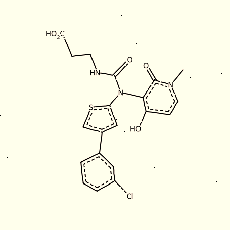 Cn1ccc(O)c(N(C(=O)NCCC(=O)O)c2cc(-c3cccc(Cl)c3)cs2)c1=O